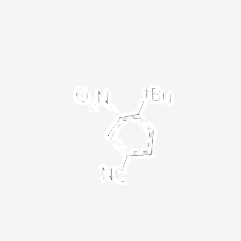 CC(C)(C)c1ccc(C#N)cc1[N+](=O)[O-]